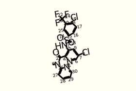 CN(C(=O)c1ncc(Cl)cc1NS(=O)(=O)c1ccc(Cl)c(C(F)(F)F)c1)c1ccccn1